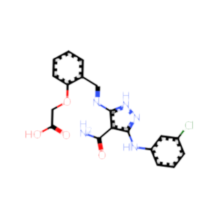 NC(=O)c1c(Nc2cccc(Cl)c2)n[nH]c1/N=C/c1ccccc1OCC(=O)O